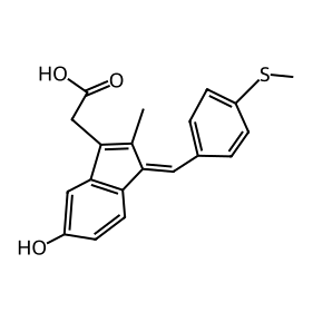 CSc1ccc(C=C2C(C)=C(CC(=O)O)c3cc(O)ccc32)cc1